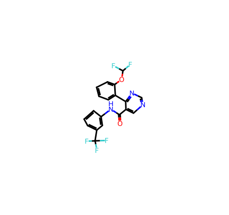 O=C(Nc1cccc(C(F)(F)F)c1)c1cncnc1-c1ccccc1OC(F)F